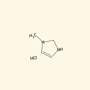 CN1C=CNC1.Cl